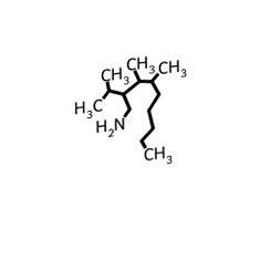 CCCCCC(C)C(C)C(CN)C(C)C